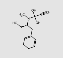 C#CC(O)(O)N(C)[C@H](CO)CC1=CCCC=C1